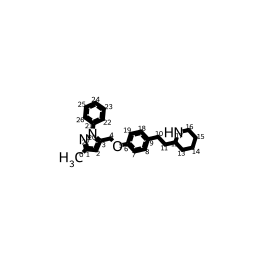 Cc1cc(COc2ccc(CCC3CCCCN3)cc2)n(-c2ccccc2)n1